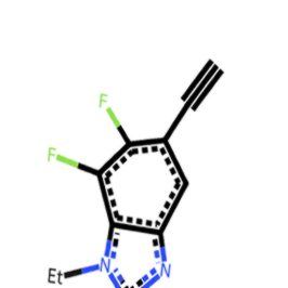 C#Cc1cc2ncn(CC)c2c(F)c1F